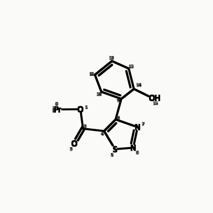 CC(C)OC(=O)c1snnc1-c1ccccc1O